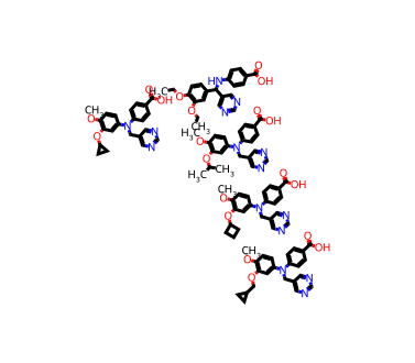 CCOc1ccc(C(Nc2ccc(C(=O)O)cc2)c2cncnc2)cc1OCC.COc1ccc(N(Cc2cncnc2)c2ccc(C(=O)O)cc2)cc1OC(C)C.COc1ccc(N(Cc2cncnc2)c2ccc(C(=O)O)cc2)cc1OC1CC1.COc1ccc(N(Cc2cncnc2)c2ccc(C(=O)O)cc2)cc1OC1CCC1.COc1ccc(N(Cc2cncnc2)c2ccc(C(=O)O)cc2)cc1OCC1CC1